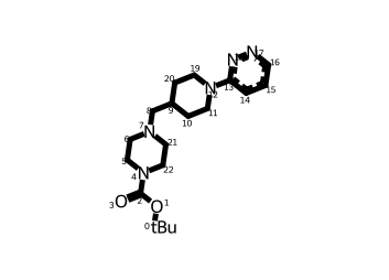 CC(C)(C)OC(=O)N1CCN(CC2CCN(c3cccnn3)CC2)CC1